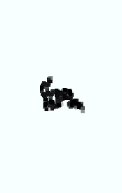 COC(=O)c1cnn2cc(-c3c(F)cccc3F)c(Cl)nc12